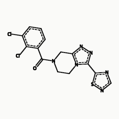 O=C(c1cccc(Cl)c1Cl)N1CCn2c(nnc2-c2ncns2)C1